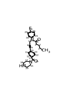 CCCCC(=O)N(CC#Cc1ccc(C(=O)N2CCNCC2)cc1)c1ccc(F)cc1